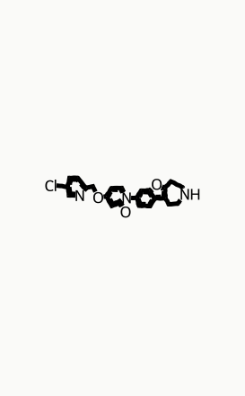 O=c1cc(OCc2ccc(Cl)cn2)ccn1-c1ccc2c3c(oc2c1)CCNCC3